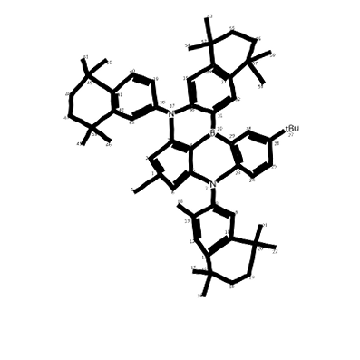 Cc1cc2c3c(c1)N(c1cc4c(cc1C)C(C)(C)CCC4(C)C)c1ccc(C(C)(C)C)cc1B3c1cc3c(cc1N2c1ccc2c(c1)C(C)(C)CCC2(C)C)C(C)(C)CCC3(C)C